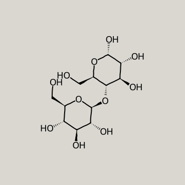 OC[C@H]1O[C@@H](O[C@H]2[C@H](O)[C@@H](O)[C@@H](O)O[C@@H]2CO)[C@H](O)[C@@H](O)[C@@H]1O